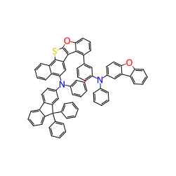 c1ccc(N(c2cccc(-c3cccc4oc5sc6c7ccccc7c(N(c7ccccc7)c7ccc8c(c7)C(c7ccccc7)(c7ccccc7)c7ccccc7-8)cc6c5c34)c2)c2ccc3oc4ccccc4c3c2)cc1